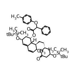 Cc1ccc(OC(C(=O)O[C@H]2C[C@H](O[Si](C)(C)C(C)(C)C)C=C3C=C[C@H](C)[C@H](CC[C@@H]4C[C@@H](O[Si](C)(C)C(C)(C)C)CC(=O)O4)[C@H]32)c2ccccc2)cc1